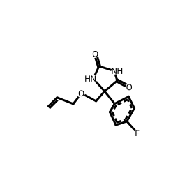 C=CCOCC1(c2ccc(F)cc2)NC(=O)NC1=O